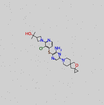 CC(C)(O)C1CN(c2nccc(Sc3ncc(N4CCC5(CC4)COC4(CC4)C5)nc3N)c2Cl)C1